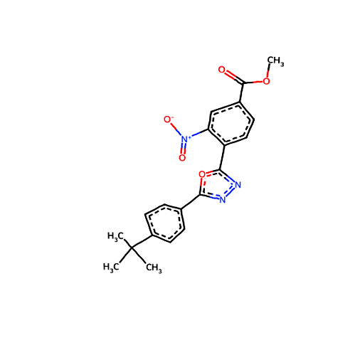 COC(=O)c1ccc(-c2nnc(-c3ccc(C(C)(C)C)cc3)o2)c([N+](=O)[O-])c1